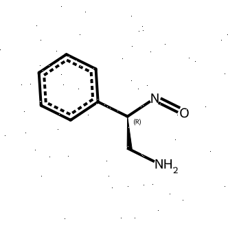 NC[C@H](N=O)c1ccccc1